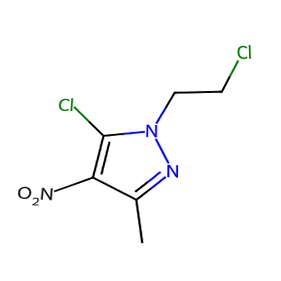 Cc1nn(CCCl)c(Cl)c1[N+](=O)[O-]